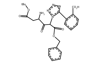 CC(C)(C)OC(=O)CC(N)C(=O)C(C(=O)OCc1ccccc1)n1nnnc1-c1ccccc1C(=O)O